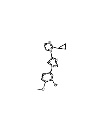 COc1ccc(-n2cc(-n3ccnc3C3CC3)nn2)cc1Br